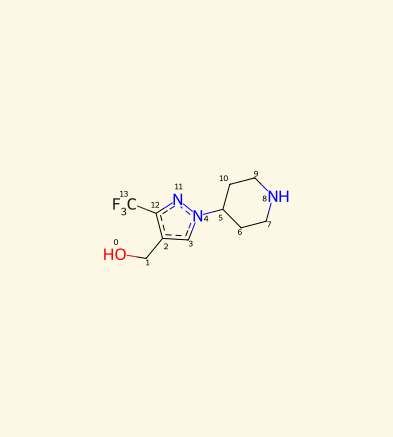 OCc1cn(C2CCNCC2)nc1C(F)(F)F